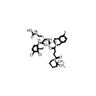 CC1(C)CCCCN1C(=O)CCC(=O)N1Cc2ccc(F)cc2C[C@H]1C(=O)N[C@@H](CCNC(=O)O)C(=O)Nc1ccc(Cl)c(Cl)c1F